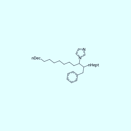 CCCCCCCCCCCCCCCCCC(C(CCCCCCC)Cc1ccccc1)n1ccnc1